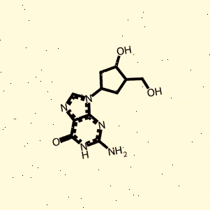 Nc1nc2c(ncn2C2CC(O)C(CO)C2)c(=O)[nH]1